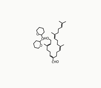 C1CCC(OC2CCCCO2)OC1.CC(C)=CCCC(C)=CCCC(C)=CCCC(C=O)=CCCC(C)=CCO